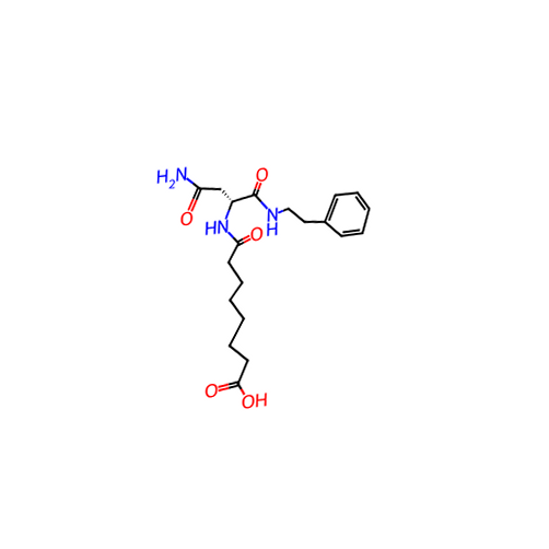 NC(=O)C[C@@H](NC(=O)CCCCCCC(=O)O)C(=O)NCCc1ccccc1